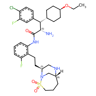 CCO[C@H]1CC[C@H](C(c2ccc(Cl)c(F)c2)[C@H](N)C(=O)Nc2cccc(F)c2CC[C@H]2CN[C@@H]3CCCS(=O)(=O)N2C3)CC1